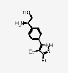 CCc1n[nH]c(-c2ccc([C@@H](N)CO)cc2)c1CC